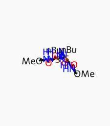 CCCCN(CCCC)c1nc(SC(=O)CNC(=O)NCCOC)nc(SC(=O)CNC(=O)NCCOC)n1